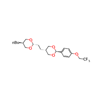 CCCC[C@H]1CO[C@H](CC[C@H]2CO[C@H](c3ccc(OCC(F)(F)F)cc3)OC2)OC1